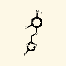 Nc1ccc(OCc2ncc(F)s2)c(Cl)c1